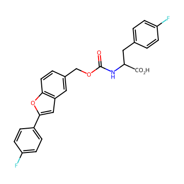 O=C(NC(Cc1ccc(F)cc1)C(=O)O)OCc1ccc2oc(-c3ccc(F)cc3)cc2c1